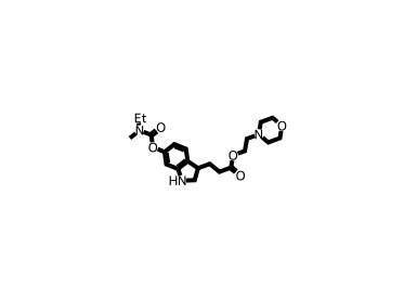 CCN(C)C(=O)Oc1ccc2c(c1)NCC2CCC(=O)OCCN1CCOCC1